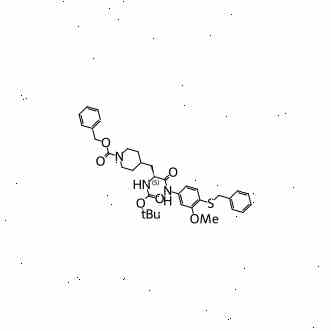 COc1cc(NC(=O)[C@H](CC2CCN(C(=O)OCc3ccccc3)CC2)NC(=O)OC(C)(C)C)ccc1SCc1ccccc1